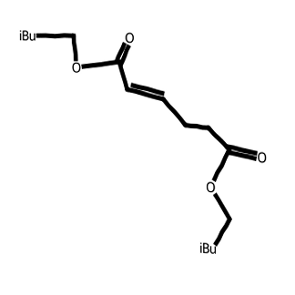 CCC(C)COC(=O)C=CCCC(=O)OCC(C)CC